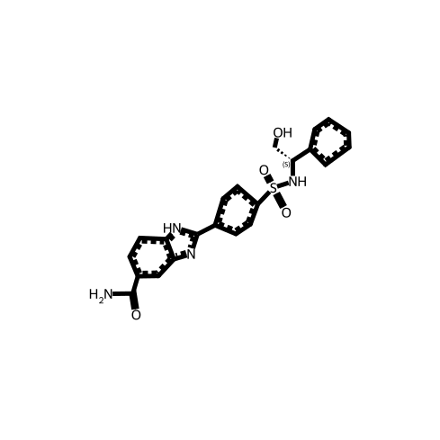 NC(=O)c1ccc2[nH]c(-c3ccc(S(=O)(=O)N[C@H](CO)c4ccccc4)cc3)nc2c1